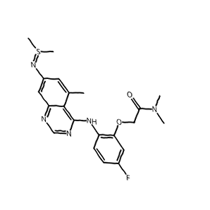 Cc1cc(N=S(C)C)cc2ncnc(Nc3ccc(F)cc3OCC(=O)N(C)C)c12